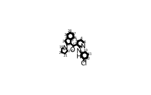 O=C(c1cccnc1Nc1cccc(Cl)c1)C1C(N2CCCC2)=Cc2ccccc21